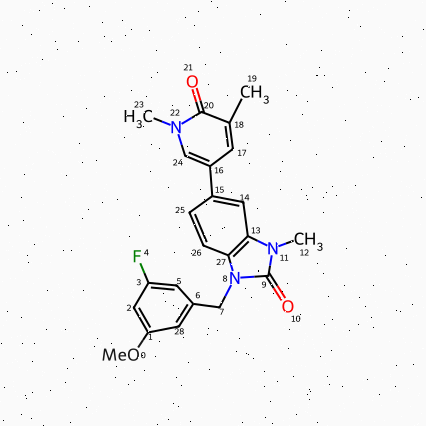 COc1cc(F)cc(Cn2c(=O)n(C)c3cc(-c4cc(C)c(=O)n(C)c4)ccc32)c1